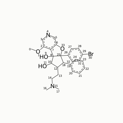 COc1cncc2c1C1(O)C(O)C(CCN(C)C)C(c3ccccc3)C1(c1ccc(Br)cc1)O2